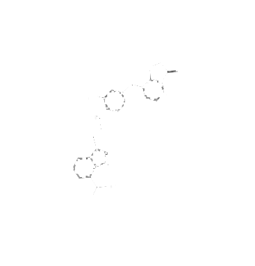 Cc1cc(Nc2ccnc3c2CCC3=O)ccc1NCCc1c[nH]c2c(C(C)O)cccc12